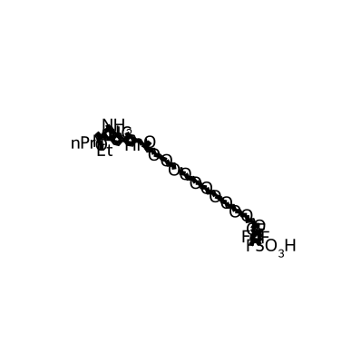 C=C(C1=Cc2ccc(-c3ccc(CNC(=O)CCOCCOCCOCCOCCOCCOCCOCCOCCOCCOCCC(=O)Oc4c(F)c(F)c(S(=O)(=O)O)c(F)c4F)cc3C#N)cc2N=C(N)C1)N(CCC)OCC